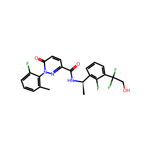 Cc1cccc(F)c1-n1nc(C(=O)N[C@H](C)c2cccc(C(F)(F)CO)c2F)ccc1=O